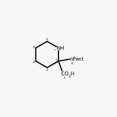 CCCCCC1(C(=O)O)CCCCN1